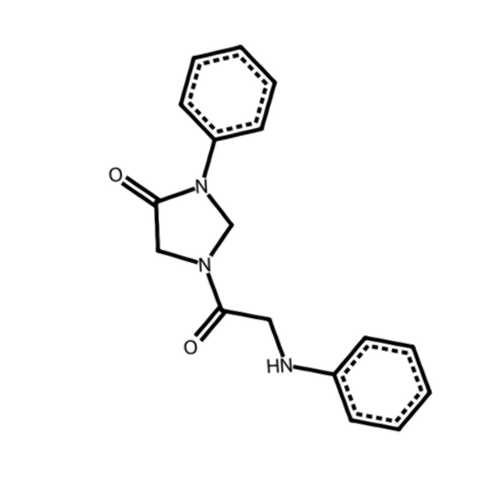 O=C(CNc1ccccc1)N1CC(=O)N(c2ccccc2)C1